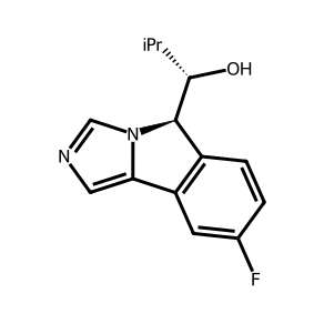 CC(C)[C@H](O)[C@H]1c2ccc(F)cc2-c2cncn21